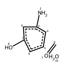 C=O.Nc1cccc(O)c1.O